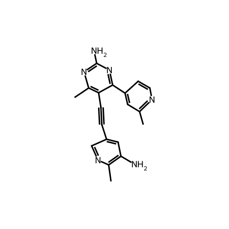 Cc1cc(-c2nc(N)nc(C)c2C#Cc2cnc(C)c(N)c2)ccn1